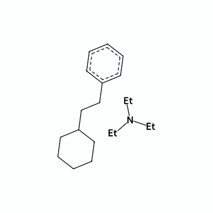 CCN(CC)CC.c1ccc(CCC2CCCCC2)cc1